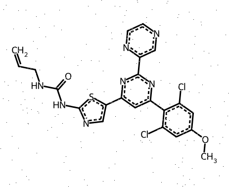 C=CCNC(=O)Nc1ncc(-c2cc(-c3c(Cl)cc(OC)cc3Cl)nc(-c3cnccn3)n2)s1